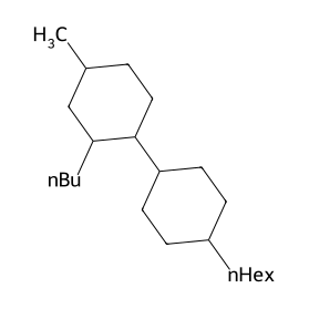 CCCCCCC1CCC(C2CCC(C)CC2CCCC)CC1